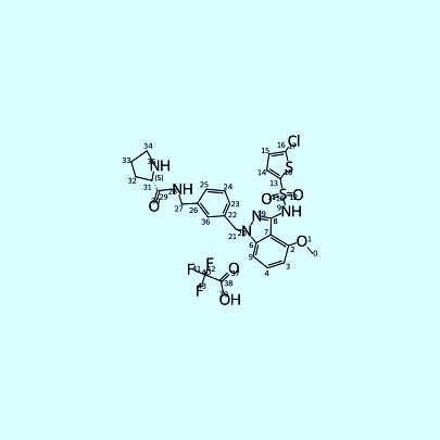 COc1cccc2c1c(NS(=O)(=O)c1ccc(Cl)s1)nn2Cc1cccc(CNC(=O)[C@@H]2CCCN2)c1.O=C(O)C(F)(F)F